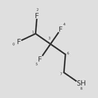 FC(F)C(F)(F)CCS